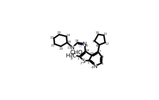 Cc1sc2nccc(C3CCCC3)c2c1/N=C\N(C=O)C1CCCCC1